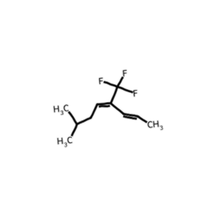 CC=C/C(=C\CC(C)C)C(F)(F)F